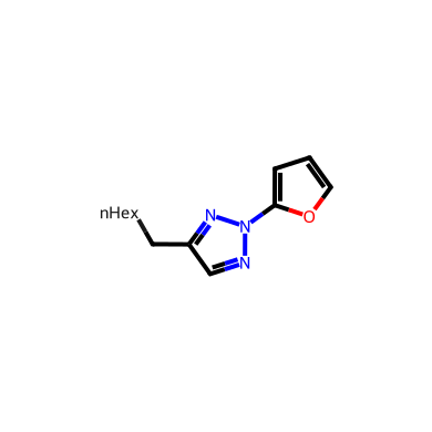 CCCCCCCc1cnn(-c2ccco2)n1